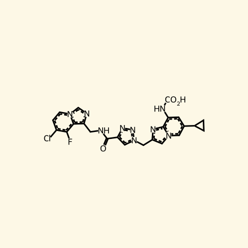 O=C(O)Nc1cc(C2CC2)cn2cc(Cn3cc(C(=O)NCc4ncn5ccc(Cl)c(F)c45)nn3)nc12